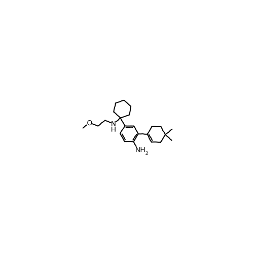 COCCNC1(c2ccc(N)c(C3=CCC(C)(C)CC3)c2)CCCCC1